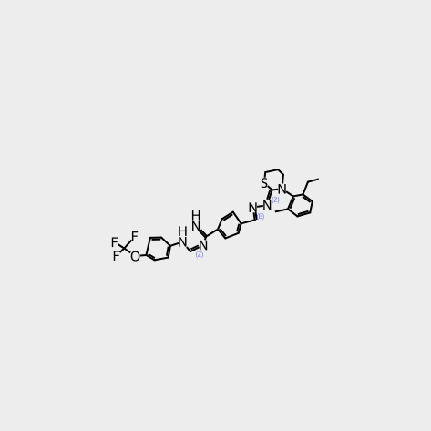 CCc1cccc(C)c1N1CCCS/C1=N\N=C\c1ccc(C(=N)/N=C\Nc2ccc(OC(F)(F)F)cc2)cc1